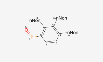 CCCCCCCCCc1ccc(P=O)c(CCCCCCCCC)c1CCCCCCCCC